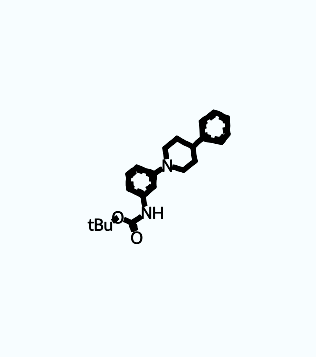 CC(C)(C)OC(=O)Nc1cccc(N2CCC(c3ccccc3)CC2)c1